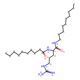 CCCCCCCCCCNC(=O)C(CCCNC(=N)N)NC(=O)CCCCCCCCC